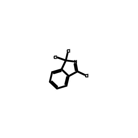 ClC1=NC(Cl)(Cl)c2ccccc21